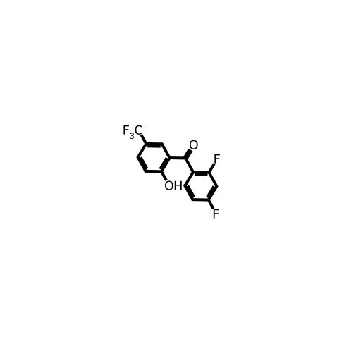 O=C(c1cc(C(F)(F)F)ccc1O)c1ccc(F)cc1F